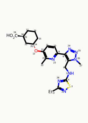 CCc1nsc(NCc2c(-c3ccc(O[C@H]4CCC[C@H](C(=O)O)C4)c(C)n3)nnn2C)n1